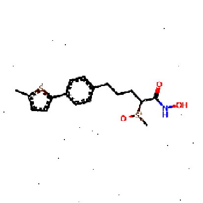 Cc1ccc(-c2ccc(CCCC(C(=O)NO)[S+](C)[O-])cc2)s1